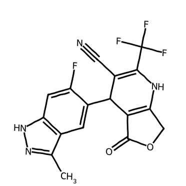 Cc1n[nH]c2cc(F)c(C3C(C#N)=C(C(F)(F)F)NC4=C3C(=O)OC4)cc12